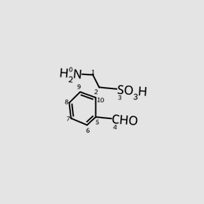 NCCS(=O)(=O)O.O=Cc1ccccc1